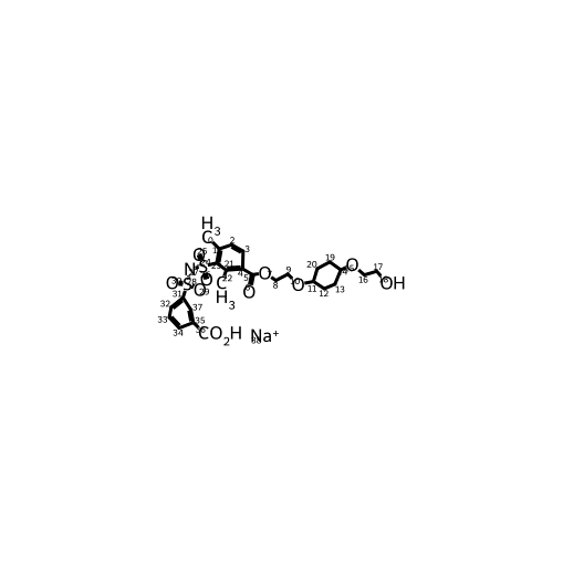 Cc1ccc(C(=O)OCCOC2CCC(OCCO)CC2)c(C)c1S(=O)(=O)[N-]S(=O)(=O)c1cccc(C(=O)O)c1.[Na+]